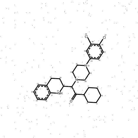 O=C(C1CCCCC1)C(C1CCc2ccccc2N1)N1CCN(c2ccc(Cl)c(Cl)c2)CC1